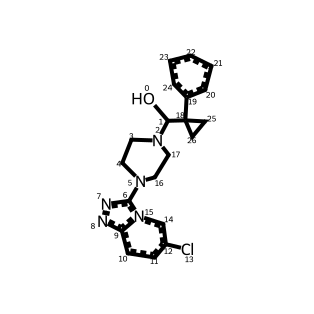 OC(N1CCN(c2nnc3ccc(Cl)cn23)CC1)C1(c2ccccc2)CC1